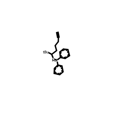 C#CCCCC(O[SiH](c1ccccc1)c1ccccc1)C(C)(C)C